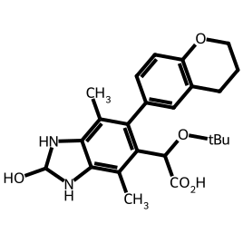 Cc1c2c(c(C)c(C(OC(C)(C)C)C(=O)O)c1-c1ccc3c(c1)CCCO3)NC(O)N2